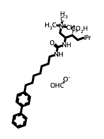 CC(C)C[C@@H](C(=O)O)C(C[N+](C)(C)C)NC(=O)NCCCCCCCc1ccc(-c2ccccc2)cc1.O=C[O-]